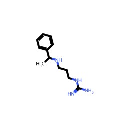 CC(NCCCNC(=N)N)c1ccccc1